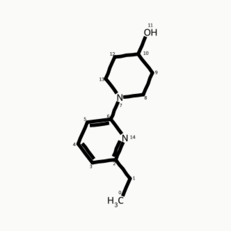 CCc1cccc(N2CCC(O)CC2)n1